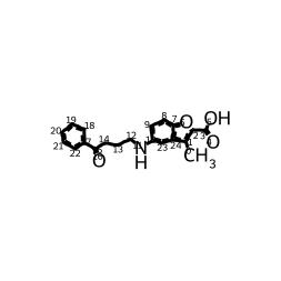 Cc1c(C(=O)O)oc2ccc(NCCCC(=O)c3ccccc3)cc12